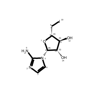 Nc1nccn1[C@@H]1O[C@H](CI)[C@@H](O)[C@@H]1O